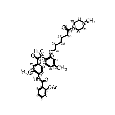 CC(=O)Oc1ccccc1C(=O)Nc1ccc(C(=O)N(C)c2ccc(C)cc2OCCCCCC(=O)N2CCN(C)CC2)cc1C